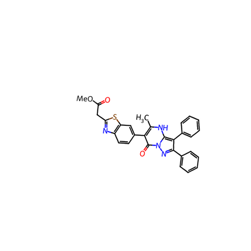 COC(=O)Cc1nc2ccc(-c3c(C)[nH]c4c(-c5ccccc5)c(-c5ccccc5)nn4c3=O)cc2s1